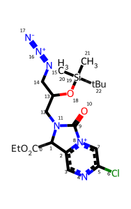 CCOC(=O)C1c2cnc(Cl)c[n+]2C(=O)N1CC(CN=[N+]=[N-])O[Si](C)(C)C(C)(C)C